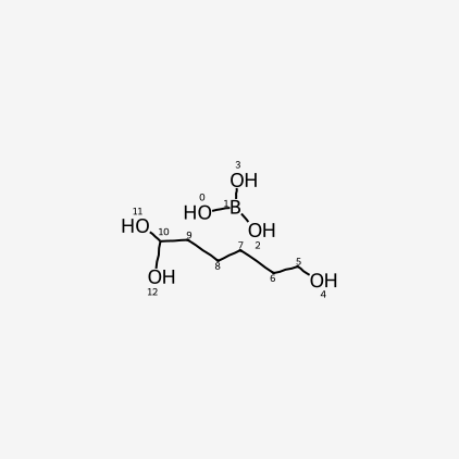 OB(O)O.OCCCCCC(O)O